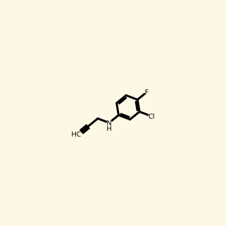 C#CCNc1ccc(F)c(Cl)c1